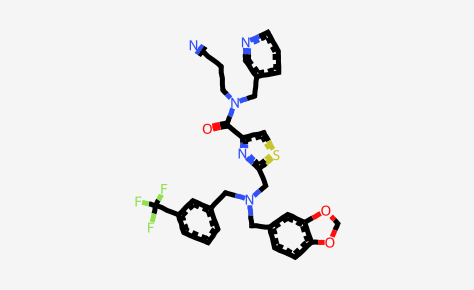 N#CCCN(Cc1cccnc1)C(=O)c1csc(CN(Cc2cccc(C(F)(F)F)c2)Cc2ccc3c(c2)OCO3)n1